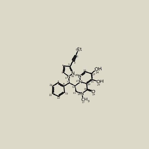 CCC#Cc1ccn([C@H](c2ccccc2)[C@@H]2CN(C)C(=O)C3=C(O)C(O)C=NN32)n1